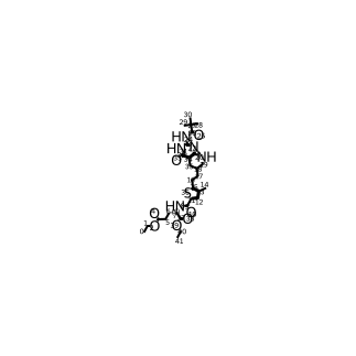 CCOC(=O)CC[C@H](NC(=O)c1cc(C)c(CCC2CNc3nc(NC(=O)C(C)(C)C)[nH]c(=O)c3C2)s1)C(=O)OCC